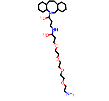 NCCOCCOCCOCCOCCC(O)NCCC(O)N1CC2CCCCC2CCC2CCCCC21